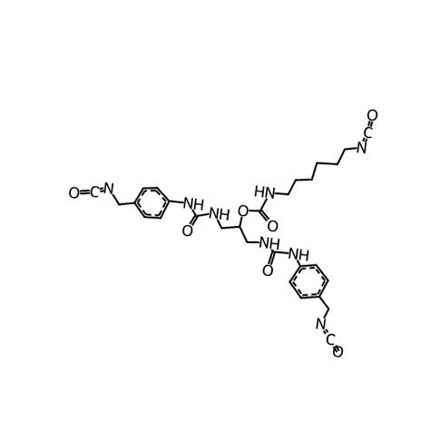 O=C=NCCCCCCNC(=O)OC(CNC(=O)Nc1ccc(CN=C=O)cc1)CNC(=O)Nc1ccc(CN=C=O)cc1